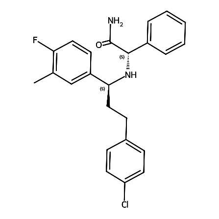 Cc1cc([C@H](CCc2ccc(Cl)cc2)N[C@H](C(N)=O)c2ccccc2)ccc1F